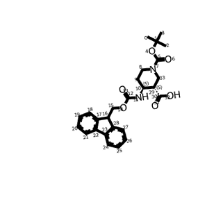 CC(C)(C)OC(=O)N1CC[C@H](NC(=O)OCC2c3ccccc3-c3ccccc32)[C@@H](C(=O)O)C1